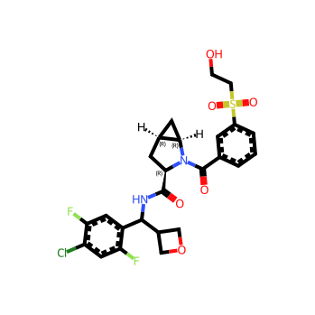 O=C(NC(c1cc(F)c(Cl)cc1F)C1COC1)[C@H]1C[C@H]2C[C@H]2N1C(=O)c1cccc(S(=O)(=O)CCO)c1